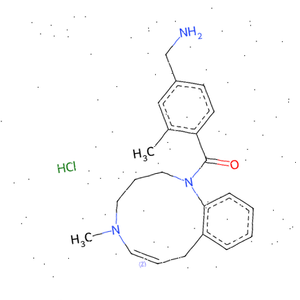 Cc1cc(CN)ccc1C(=O)N1CCCN(C)/C=C\Cc2ccccc21.Cl